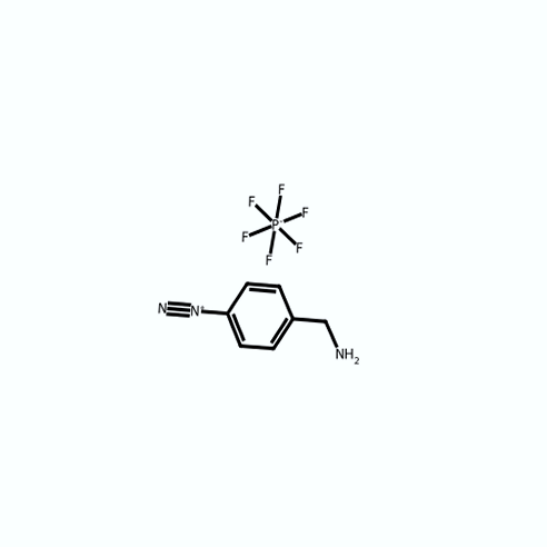 F[P-](F)(F)(F)(F)F.N#[N+]c1ccc(CN)cc1